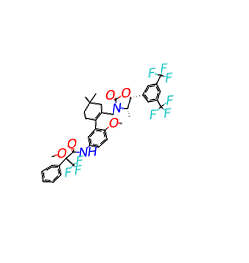 COc1ccc(NC(=O)C(OC)(c2ccccc2)C(F)(F)F)cc1C1=C(CN2C(=O)O[C@H](c3cc(C(F)(F)F)cc(C(F)(F)F)c3)[C@@H]2C)CC(C)(C)CC1